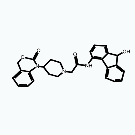 O=C(CN1CCC(N2C(=O)OCc3ccccc32)CC1)Nc1cccc2c1-c1ccccc1C2O